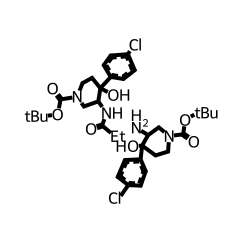 CC(C)(C)OC(=O)N1CCC(O)(c2ccc(Cl)cc2)C(N)C1.CCC(=O)NC1CN(C(=O)OC(C)(C)C)CCC1(O)c1ccc(Cl)cc1